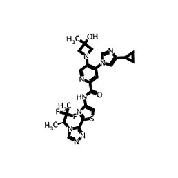 C[C@H](n1cnnc1-c1nc(NC(=O)c2cc(-n3cnc(C4CC4)c3)c(N3CC(C)(O)C3)cn2)cs1)C(C)(F)F